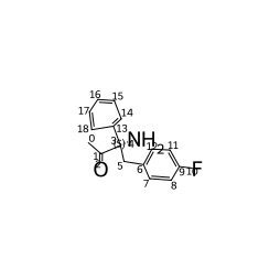 CC(=O)[C@](N)(Cc1ccc(F)cc1)c1ccccc1